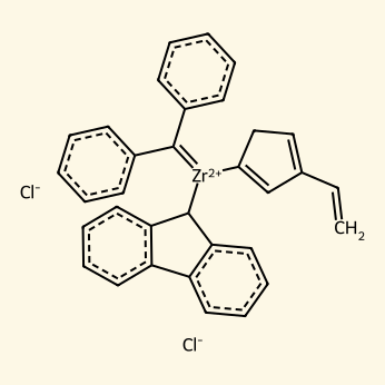 C=CC1=CC[C]([Zr+2](=[C](c2ccccc2)c2ccccc2)[CH]2c3ccccc3-c3ccccc32)=C1.[Cl-].[Cl-]